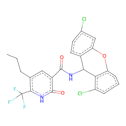 CCCc1cc(C(=O)NC2c3ccc(Cl)cc3Oc3cccc(Cl)c32)c(=O)[nH]c1C(F)(F)F